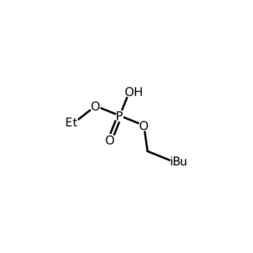 CCOP(=O)(O)OCC(C)CC